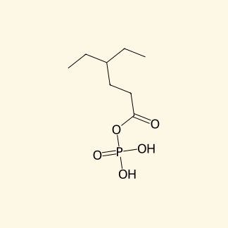 CCC(CC)CCC(=O)OP(=O)(O)O